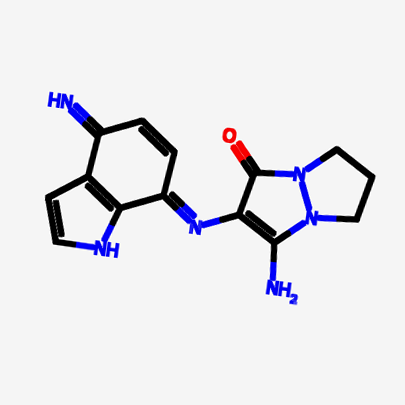 N=C1C=CC(=Nc2c(N)n3n(c2=O)CCC3)c2[nH]ccc21